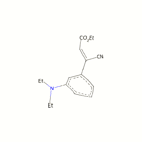 CCOC(=O)C=C(C#N)c1cccc(N(CC)CC)c1